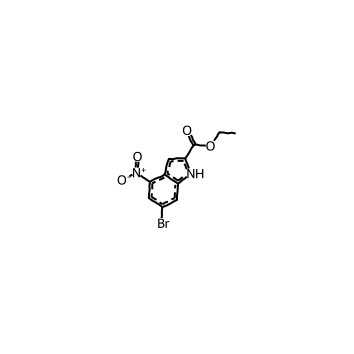 CCOC(=O)c1cc2c([N+](=O)[O-])cc(Br)cc2[nH]1